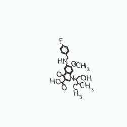 COc1cc2c(cc1NCc1ccc(F)cc1)c(=O)c(C(=O)O)cn2C(CO)C(C)C